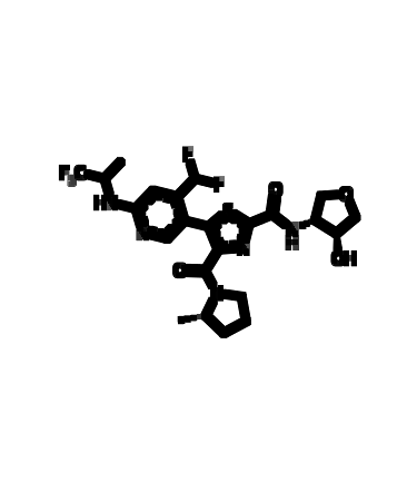 CC(Nc1cc(C(F)F)c(-c2sc(C(=O)N[C@@H]3COC[C@H]3O)nc2C(=O)N2CCC[C@@H]2C)cn1)C(F)(F)F